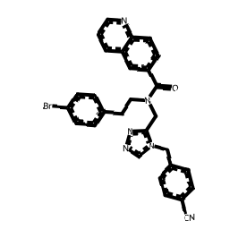 N#Cc1ccc(Cn2cnnc2CN(CCc2ccc(Br)cc2)C(=O)c2ccc3ncccc3c2)cc1